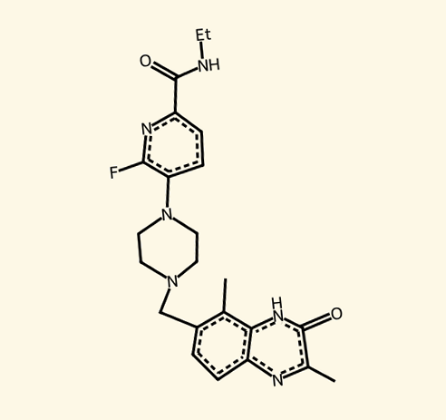 CCNC(=O)c1ccc(N2CCN(Cc3ccc4nc(C)c(=O)[nH]c4c3C)CC2)c(F)n1